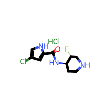 Cl.O=C(N[C@@H]1CCNC[C@H]1F)c1cc(Cl)c[nH]1